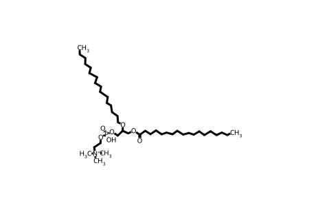 CCCCCCCCCCCCCCCCCC(=O)OCC(COP(=O)(O)OCC[N+](C)(C)C)OCCCCCCCCCCCCCCCC